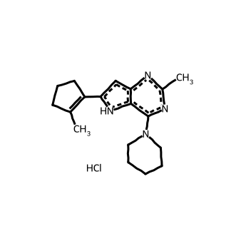 CC1=C(c2cc3nc(C)nc(N4CCCCC4)c3[nH]2)CCC1.Cl